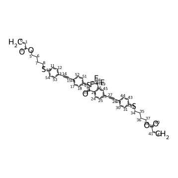 C=CC(=O)OCCCCSc1ccc(C#Cc2ccc(SC(=O)c3ccc(C#Cc4ccc(SCCCCOC(=O)C=C)cc4)cc3C(F)(F)F)cc2)cc1